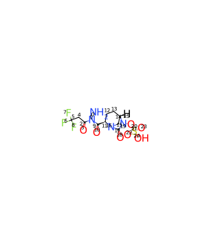 NN(C(=O)CC(F)(F)F)C(=O)[C@H]1CC[C@H]2CN1C(=O)N2OS(=O)(=O)O